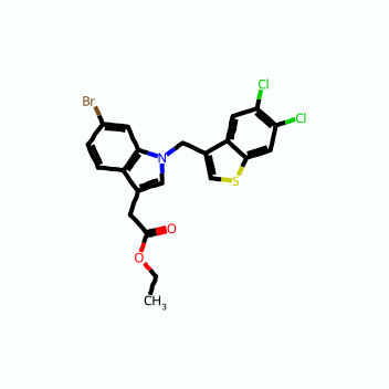 CCOC(=O)Cc1cn(Cc2csc3cc(Cl)c(Cl)cc23)c2cc(Br)ccc12